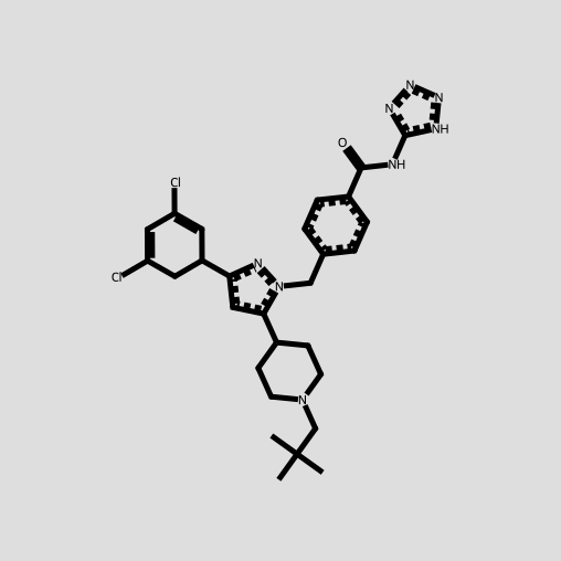 CC(C)(C)CN1CCC(c2cc(C3C=C(Cl)C=C(Cl)C3)nn2Cc2ccc(C(=O)Nc3nnn[nH]3)cc2)CC1